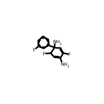 NC1=CC(F)C(N)(c2cccc(F)c2)C=C1F